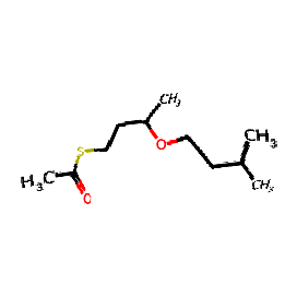 CC(=O)SCCC(C)OCCC(C)C